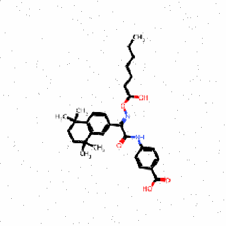 CCCCCCC(O)O/N=C(/C(=O)Nc1ccc(C(=O)O)cc1)c1ccc2c(c1)C(C)(C)CCC2(C)C